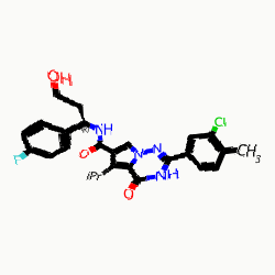 Cc1ccc(-c2nn3cc(C(=O)N[C@H](CCO)c4ccc(F)cc4)c(C(C)C)c3c(=O)[nH]2)cc1Cl